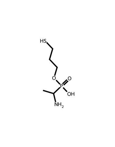 CC(N)P(=O)(O)OCCCS